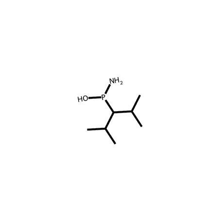 CC(C)C(C(C)C)P(N)O